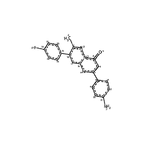 Cc1nn2c(=O)cc(-c3ccc(N)cc3)nc2cc1-c1ccc(F)cc1